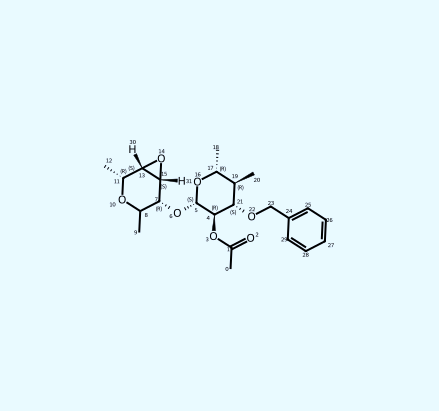 CC(=O)O[C@H]1[C@H](O[C@@H]2C(C)O[C@H](C)[C@@H]3O[C@@H]32)O[C@H](C)[C@@H](C)[C@@H]1OCc1ccccc1